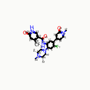 C[C@@H]1CN(c2cc(F)c(-c3ccn(C)c(=O)c3)cc2NC(=O)c2c[nH]c(=O)cc2C(F)(F)F)C[C@H](C)N1C